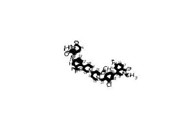 COc1cc(-c2cn(C)c(=O)c3ccc(F)cc23)cc(Cl)c1CN1CCC(N2CCC(c3ccc(NC4CCC(=O)NC4=O)cc3C(F)(F)F)CC2)CC1